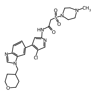 CN1CCN(S(=O)(=O)CC(=O)Nc2cc(-c3ccc4ncn(CC5CCOCC5)c4c3)c(Cl)cn2)CC1